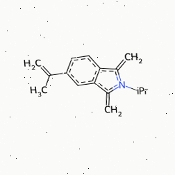 C=C(C)c1ccc2c(=C)n(C(C)C)c(=C)c2c1